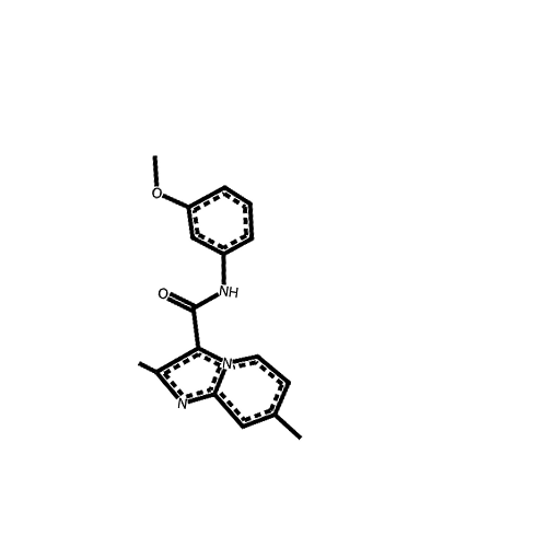 COc1cccc(NC(=O)c2c(C)nc3cc(C)ccn23)c1